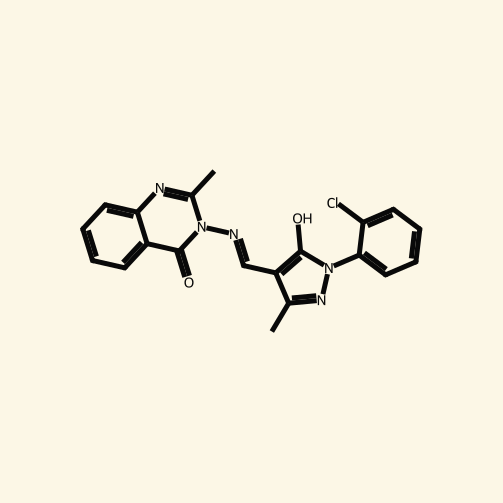 Cc1nn(-c2ccccc2Cl)c(O)c1C=Nn1c(C)nc2ccccc2c1=O